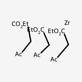 CCOC(=O)CC(C)=O.CCOC(=O)CC(C)=O.CCOC(=O)CC(C)=O.[Zr]